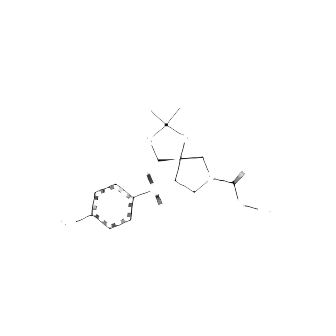 CC1(C)NC[C@]2(CN(C(=O)OC(C)(C)C)C[C@@H]2S(=O)(=O)c2ccc(C#N)cc2)N1